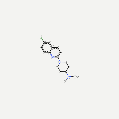 CCN(C(=O)O)C1CCN(c2ccc3cc(Cl)ccc3n2)CC1